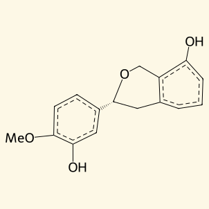 COc1ccc([C@H]2Cc3cccc(O)c3CO2)cc1O